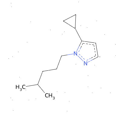 CC(C)CCCn1n[c]cc1C1CC1